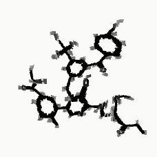 CCC(=O)[C@H](CNc1ncc(-c2cc(C(=O)NC)ccc2C)n(Cc2cc(C(=O)c3ccc(F)cc3)cc(C(F)(F)F)c2)c1=O)NC